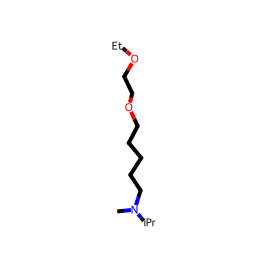 CCOCCOCCCCCN(C)C(C)C